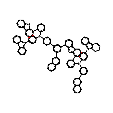 C1=Cc2c(n(-c3ccc(N(c4cccc(-c5ccc6ccccc6c5)c4)c4ccccc4-c4cccc5c4sc4c(-c6cc(-c7ccc(N(c8ccc(-n9c%10ccccc%10c%10ccccc%109)cc8)c8ccccc8-c8cccc9c8sc8ccccc89)cc7)cc(-c7ccc8ccccc8c7)c6)cccc45)cc3)c3ccccc23)CC1